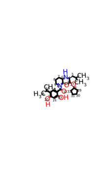 CC(C)C[C@H](NC1CCCN(C(=O)c2cc(C(C)C)c(O)cc2O)C1)C(=O)OC1CCCC1